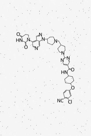 N#Cc1ccc(OC2CCC(NC(=O)c3cnc(N4CCC(CN5CCC(n6ncc7c(N8CCC(=O)NC8=O)cncc76)CC5)CC4)nc3)CC2)cc1Cl